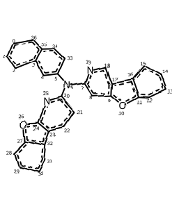 c1ccc2cc(N(c3cc4oc5ccccc5c4cn3)c3ccc4c(n3)oc3ccccc34)ccc2c1